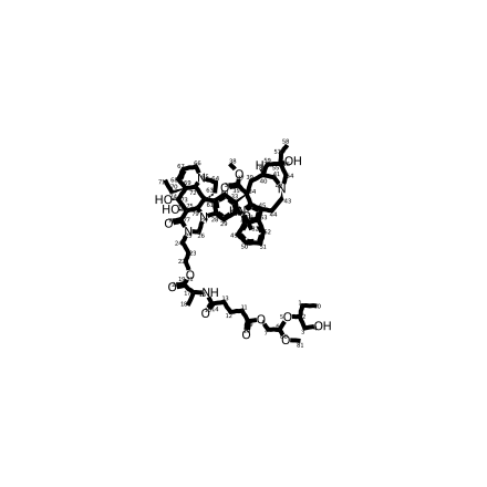 CCC(CO)OC(COC(=O)CCCC(=O)NC(C)C(=O)OCCCN1CN2c3cc(OC)c([C@@]4(C(=O)OC)C[C@@H]5C[N@](CCc6c4[nH]c4ccccc64)CC(O)(CC)C5)cc3[C@]34CCN5CC=C[C@](CC)(C53)[C@@H](O)[C@](O)(C1=O)C24)OC